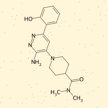 CN(C)C(=O)C1CCN(c2cc(-c3ccccc3O)nnc2N)CC1